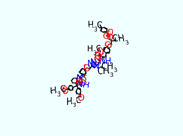 CCC(COc1ccc(CC(NC(=O)[C@H](C(C)C)n2cc(COc3ccc4nc(S(=O)(=O)NC(c5ccccc5)(c5ccc(OC)cc5)c5ccc(OC)cc5)sc4c3)nn2)C(=O)OC)cc1)COS(=O)(=O)c1ccc(C)cc1